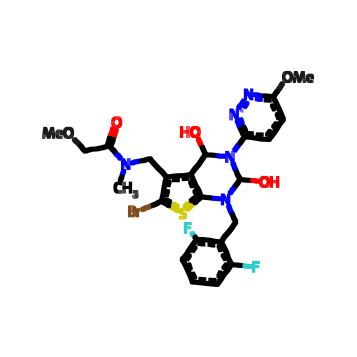 COCC(=O)N(C)Cc1c(Br)sc2c1C(O)N(c1ccc(OC)nn1)C(O)N2Cc1c(F)cccc1F